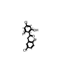 O=C(Cc1cc(Cl)ccc1Br)c1c(O)cc(Cl)cc1F